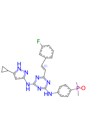 CP(C)(=O)c1ccc(Nc2nc(/C=C/c3cccc(F)c3)nc(Nc3cc(C4CC4)[nH]n3)n2)cc1